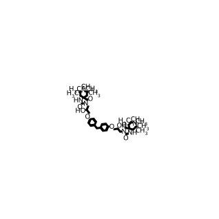 CN1C(C)(C)CC2(CC1(C)C)NC(=O)N(CC(O)COc1ccc(Cc3ccc(OCC(O)CN4C(=O)NC5(CC(C)(C)N(C)C(C)(C)C5)C4=O)cc3)cc1)C2=O